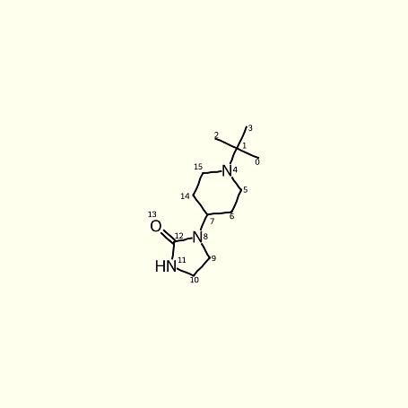 CC(C)(C)N1CCC(N2CCNC2=O)CC1